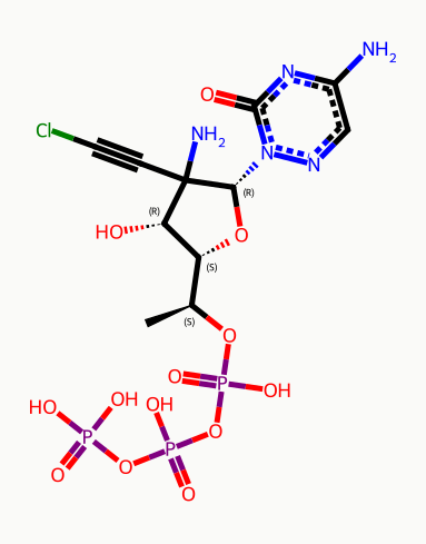 C[C@H](OP(=O)(O)OP(=O)(O)OP(=O)(O)O)[C@H]1O[C@@H](n2ncc(N)nc2=O)C(N)(C#CCl)[C@H]1O